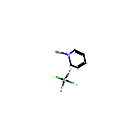 CCCCN1C=CC=CC1.F[B-](F)(F)F